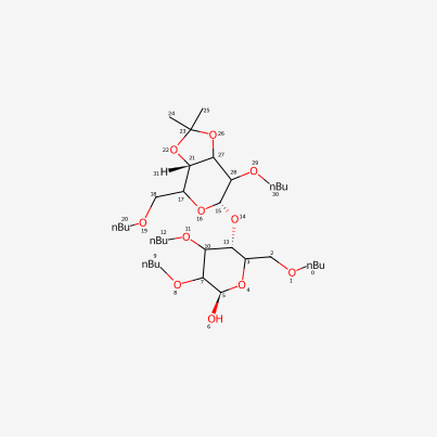 CCCCOCC1O[C@@H](O)C(OCCCC)C(OCCCC)[C@@H]1O[C@@H]1OC(COCCCC)[C@@H]2OC(C)(C)OC2C1OCCCC